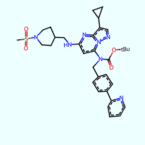 CC(C)(C)OC(=O)N(Cc1ccc(-c2ccccn2)cc1)c1cc(NCC2CCN(S(C)(=O)=O)CC2)nc2c(C3CC3)cnn12